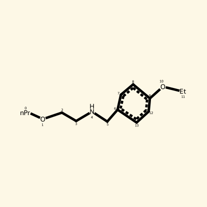 CCCOCCNCc1ccc(OCC)cc1